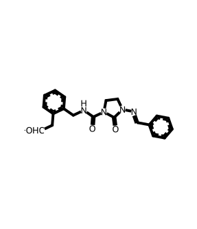 O=[C]Cc1ccccc1CNC(=O)N1CCN(N=Cc2ccccc2)C1=O